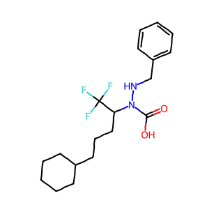 O=C(O)N(NCc1ccccc1)C(CCCC1CCCCC1)C(F)(F)F